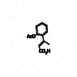 CC(=O)Oc1ccccc1C(C)=CC(=O)O